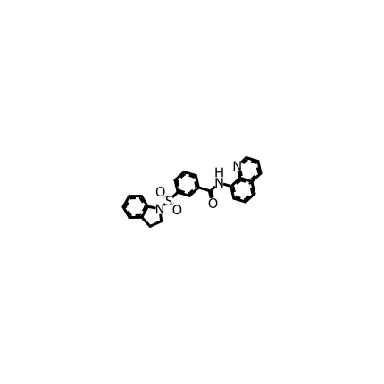 O=C(Nc1cccc2cccnc12)c1cccc(S(=O)(=O)N2CCc3ccccc32)c1